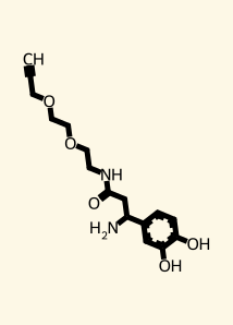 C#CCOCCOCCNC(=O)CC(N)c1ccc(O)c(O)c1